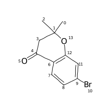 CC1(C)CC(=O)c2ccc(Br)cc2O1